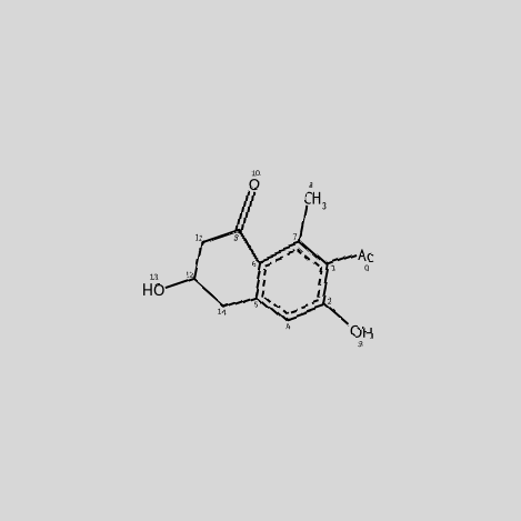 CC(=O)c1c(O)cc2c(c1C)C(=O)CC(O)C2